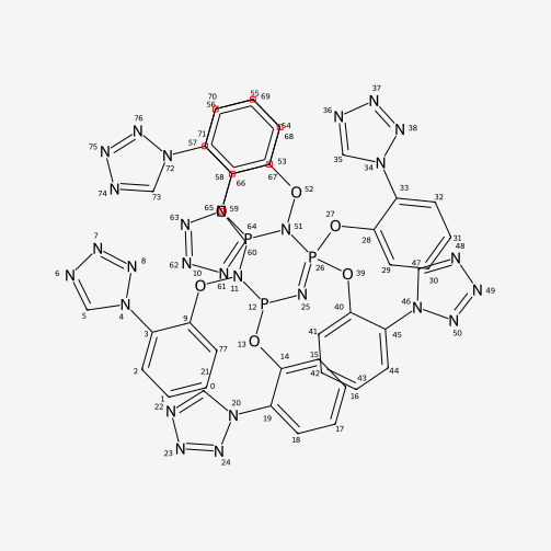 c1ccc(-n2cnnn2)c(ON2P(Oc3ccccc3-n3cnnn3)N=P(Oc3ccccc3-n3cnnn3)(Oc3ccccc3-n3cnnn3)N(Oc3ccccc3-n3cnnn3)P2Oc2ccccc2-n2cnnn2)c1